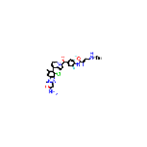 Cc1cc2c(nc(CC(N)=O)n2C)c(Cl)c1-c1cccn2c(C(=O)c3cc(F)c(NC(=O)/C=C/CNC(C)(C)C)c(F)c3)ccc12